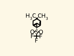 CC1(C)C=C2C3=C(C1)[C@]23S(=O)(=O)C(F)(F)F